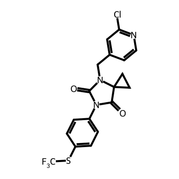 O=C1N(c2ccc(SC(F)(F)F)cc2)C(=O)C2(CC2)N1Cc1ccnc(Cl)c1